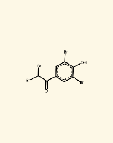 O=C(c1cc(Br)c(O)c(Br)c1)C(Br)Br